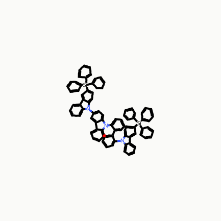 C1=CCCC([Si](c2ccccc2)(c2ccccc2)c2ccc3c(c2)c2ccccc2n3-c2ccc3c(c2)c2ccccc2n3-c2ccccc2-c2ccccc2-n2c3ccccc3c3cc([Si](c4ccccc4)(c4ccccc4)c4ccccc4)ccc32)=C1